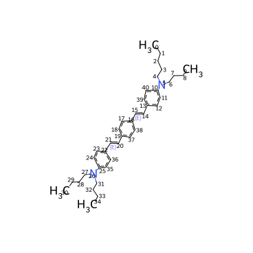 CCCCCN(CCCC)c1ccc(/C=C/c2ccc(/C=C/c3ccc(N(CCCC)CCCC)cc3)cc2)cc1